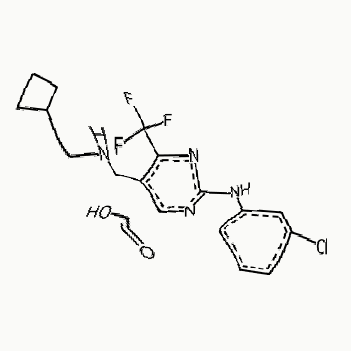 FC(F)(F)c1nc(Nc2cccc(Cl)c2)ncc1CNCC1CCC1.O=CO